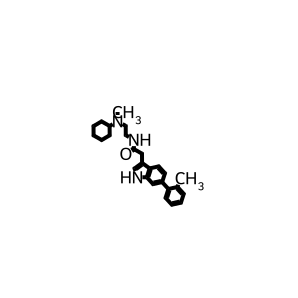 Cc1ccccc1-c1ccc2c(CC(=O)NCCN(C)C3CCCCC3)c[nH]c2c1